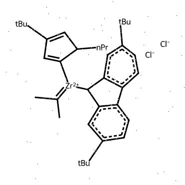 CCCC1C=C(C(C)(C)C)C=[C]1[Zr+2](=[C](C)C)[CH]1c2cc(C(C)(C)C)ccc2-c2ccc(C(C)(C)C)cc21.[Cl-].[Cl-]